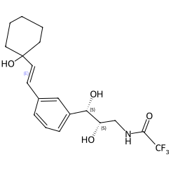 O=C(NC[C@H](O)[C@@H](O)c1cccc(/C=C/C2(O)CCCCC2)c1)C(F)(F)F